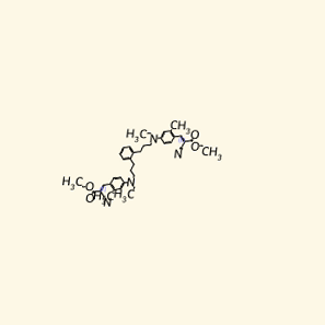 CCOC(=O)/C(C#N)=C/c1ccc(N(CC)CCCc2ccccc2CCCN(CC)c2ccc(/C=C(\C#N)C(=O)OCC)c(C)c2)cc1C